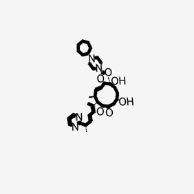 C/C(=C\C=C\[C@H](C)c1ncccn1)[C@H]1C(=O)C(=O)C[C@@H](O)CC[C@](C)(O)[C@@H](OC(=O)N2CCN(C3CCCCCC3)CC2)/C=C/[C@@H]1C